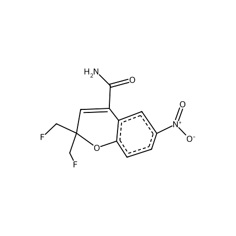 NC(=O)C1=CC(CF)(CF)Oc2ccc([N+](=O)[O-])cc21